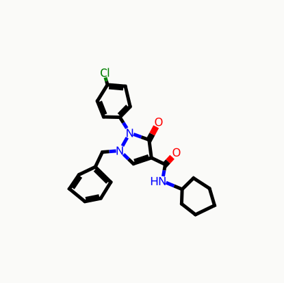 O=C(NC1CCCCC1)c1cn(Cc2ccccc2)n(-c2ccc(Cl)cc2)c1=O